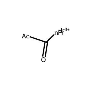 CCCC(=O)C(C)=O.[Ir+3]